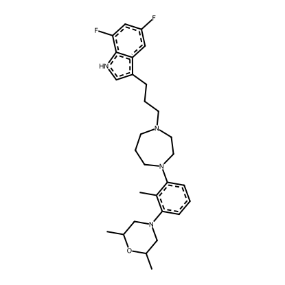 Cc1c(N2CCCN(CCCc3c[nH]c4c(F)cc(F)cc34)CC2)cccc1N1CC(C)OC(C)C1